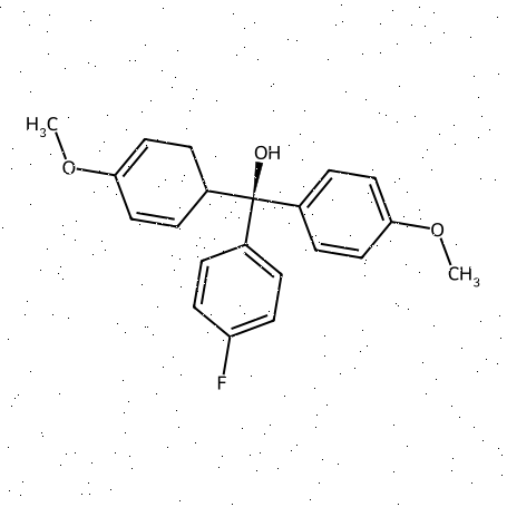 COC1=CCC([C@@](O)(c2ccc(F)cc2)c2ccc(OC)cc2)C=C1